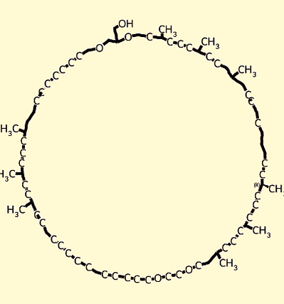 CC1CCCCCCCCCC[C@@H](C)CCCC(C)CCCC(C)CCOCCOCCCCCCCCCCCCCCC(C)CCC(C)CCCC(C)CCCCCCCCCCOCC(CO)OCCC(C)CCCC(C)CCC1